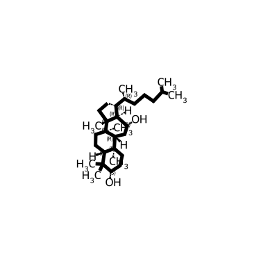 CC(C)CCC[C@@H](C)[C@H]1CC[C@]2(C)[C@@H]1[C@H](O)C[C@@H]1[C@@]3(C)CC[C@H](O)C(C)(C)[C@@H]3CC[C@]12C